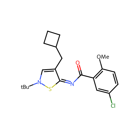 COc1ccc(Cl)cc1C(=O)N=c1sn(C(C)(C)C)cc1CC1CCC1